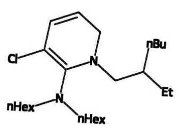 CCCCCCN(CCCCCC)C1=C(Cl)C=CCN1CC(CC)CCCC